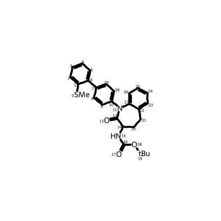 CSc1ccccc1-c1ccc(N2C(=O)C(NC(=O)OC(C)(C)C)CCc3ccccc32)cc1